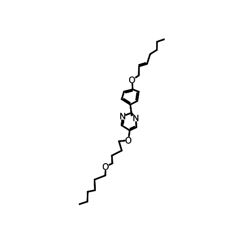 CCCCC=CCOc1ccc(-c2ncc(OCCCCOCCCCCC)cn2)cc1